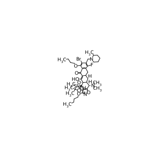 CCCCOc1noc2c1C(=O)[C@@]1(O[Si](C)(C)C(C)(C)C)C(O)=C3C(=O)c4c(c(F)c(CN5CCCC[C@@H]5C)c(Br)c4OCCCC)C[C@H]3C[C@H]1[C@@H]2N(C)C